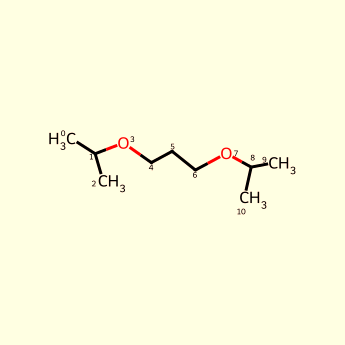 CC(C)OCCCOC(C)C